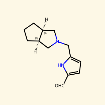 O=Cc1ccc(CN2C[C@H]3CCC[C@H]3C2)[nH]1